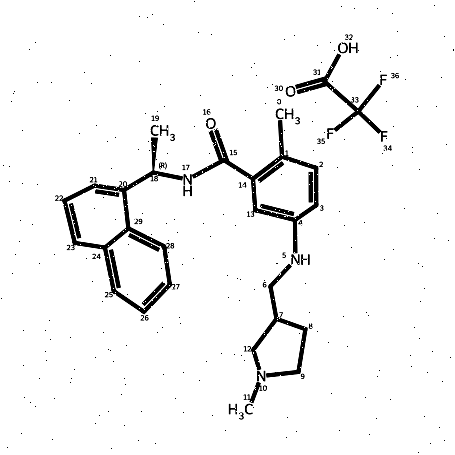 Cc1ccc(NCC2CCN(C)C2)cc1C(=O)N[C@H](C)c1cccc2ccccc12.O=C(O)C(F)(F)F